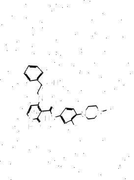 CN1CCN(c2ccc(NC(=O)c3c(NC[C@@H](O)c4ccccc4)cc[nH]c3=O)cc2F)CC1